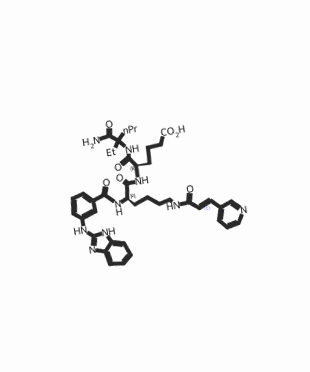 CCCC(CC)(NC(=O)[C@@H](CCCC(=O)O)NC(=O)[C@@H](CCCCNC(=O)/C=C/c1cccnc1)NC(=O)c1cccc(Nc2nc3ccccc3[nH]2)c1)C(N)=O